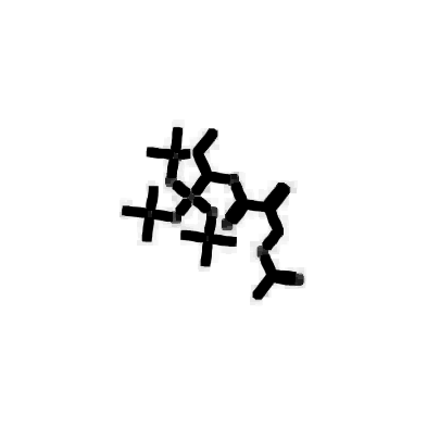 C=C(COC(C)=O)C(=O)OC(CC)[Si](O[Si](C)(C)C)(O[Si](C)(C)C)O[Si](C)(C)C